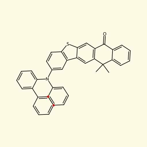 CC1(C)c2ccccc2C(=O)c2cc3sc4ccc(N(c5ccccc5)c5ccccc5-c5ccccc5)cc4c3cc21